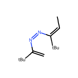 C=C(/N=N\C(=C/C)C(C)(C)C)C(C)(C)C